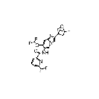 CC12CC(c3cn4cc(NC(=O)c5cccc(C(F)F)n5)c(OC(F)F)cc4n3)(CO1)C2